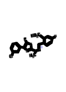 CN(/N=C/c1ccc(F)cc1C(=O)O)c1nc(-c2cccc(Cl)c2)c(F)s1